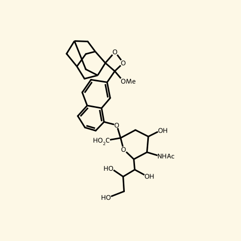 COC1(c2ccc3cccc(OC4(C(=O)O)CC(O)C(NC(C)=O)C(C(O)C(O)CO)O4)c3c2)OOC12C1CC3CC(C1)CC2C3